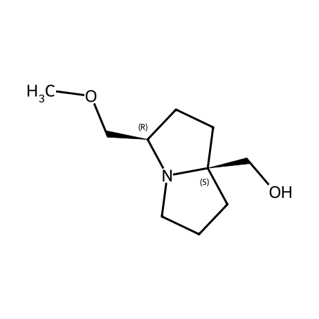 COC[C@H]1CC[C@]2(CO)CCCN12